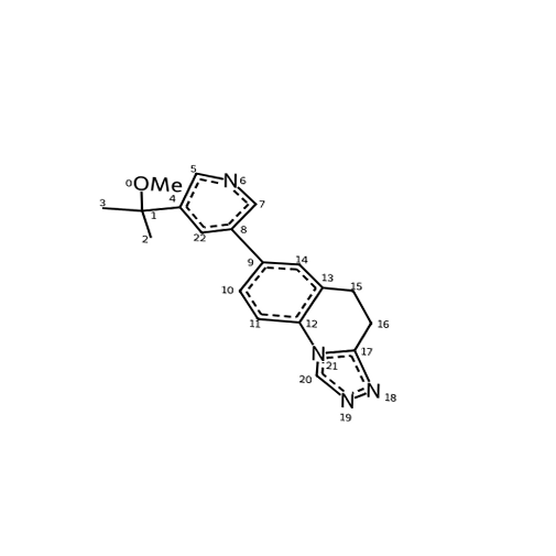 COC(C)(C)c1cncc(-c2ccc3c(c2)CCc2nncn2-3)c1